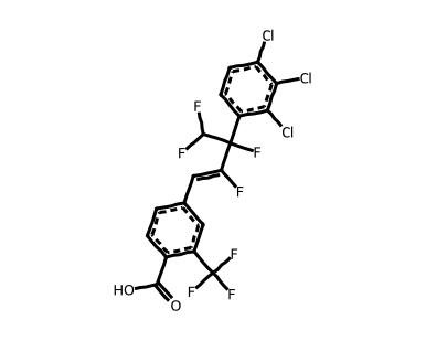 O=C(O)c1ccc(C=C(F)C(F)(c2ccc(Cl)c(Cl)c2Cl)C(F)F)cc1C(F)(F)F